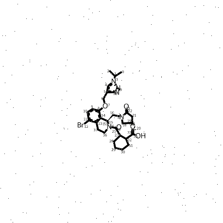 CC(C)n1cc(COc2ccc(Br)c3c2[C@@H](CN2C[C@@H](C)CC2=O)N(C(=O)C2CCCCC2C(=O)O)CC3)nn1